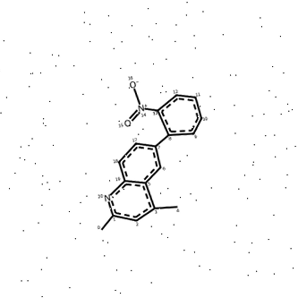 Cc1cc(C)c2cc(-c3ccccc3[N+](=O)[O-])ccc2n1